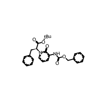 CC(C)(C)OC(=O)[C@H](Cc1ccccc1)n1cccc(NC(=O)OCc2ccccc2)c1=O